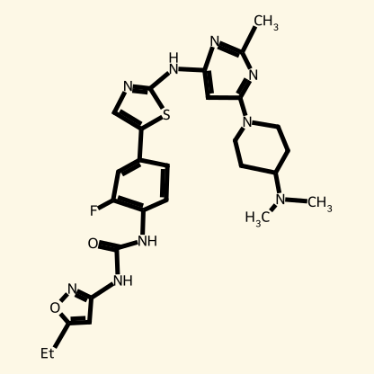 CCc1cc(NC(=O)Nc2ccc(-c3cnc(Nc4cc(N5CCC(N(C)C)CC5)nc(C)n4)s3)cc2F)no1